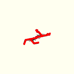 CC/C=C\C/C=C\C/C=C\CCCCCC[C@@H](O)CN(CCCCC(=O)OCCN1CCN(CCSSCCCCN(C[C@@H](O)CCCCCC/C=C\CCCCCCCC)C[C@@H](O)CCCCCC/C=C\CCCCCCCC)CC1)C[C@H](O)CCCCCC/C=C\C/C=C\C/C=C\CC